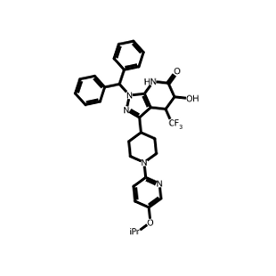 CC(C)Oc1ccc(N2CCC(c3nn(C(c4ccccc4)c4ccccc4)c4c3C(C(F)(F)F)C(O)C(=O)N4)CC2)nc1